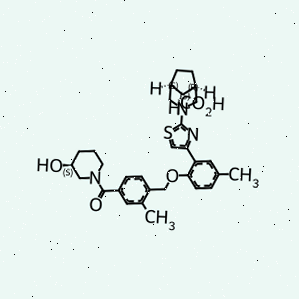 Cc1ccc(OCc2ccc(C(=O)N3CCC[C@H](O)C3)cc2C)c(-c2csc(N3C[C@H]4CC[C@@H](C3)[C@H]4C(=O)O)n2)c1